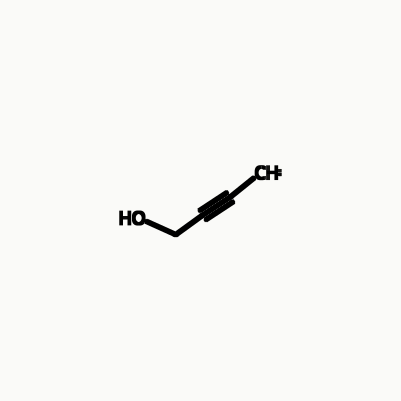 [CH]C#CCO